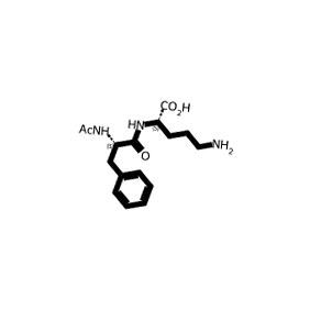 CC(=O)N[C@@H](Cc1ccccc1)C(=O)N[C@@H](CCCN)C(=O)O